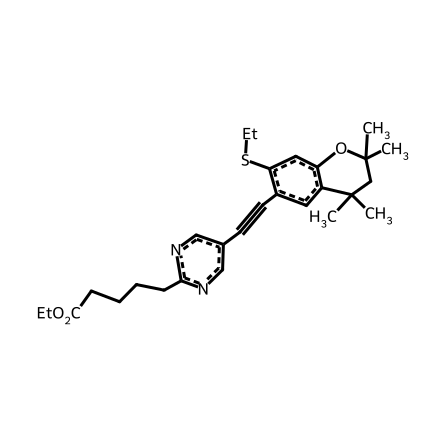 CCOC(=O)CCCCc1ncc(C#Cc2cc3c(cc2SCC)OC(C)(C)CC3(C)C)cn1